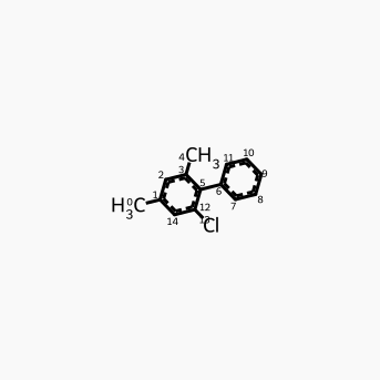 Cc1cc(C)c(-c2ccccc2)c(Cl)c1